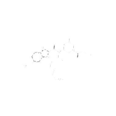 COCCCCn1c(C(=O)N(CC(C)C)[C@H]2CC(C(=O)O)CN(C(=O)OC(C)(C)C)C2)nc2ccc(OC)cc21